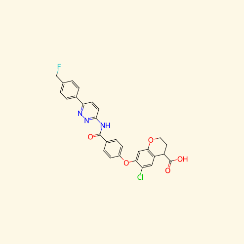 O=C(Nc1ccc(-c2ccc(CF)cc2)nn1)c1ccc(Oc2cc3c(cc2Cl)C(C(=O)O)CCO3)cc1